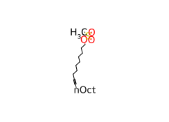 CCCCCCCCC#CCCCCCCCCOS(C)(=O)=O